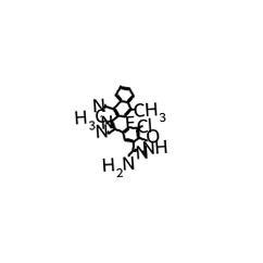 Cc1c(F)c(-c2c(-c3cc(Cl)c4c(=O)[nH]nc(CN)c4c3)cnn2C)c(C#N)c2ccccc12